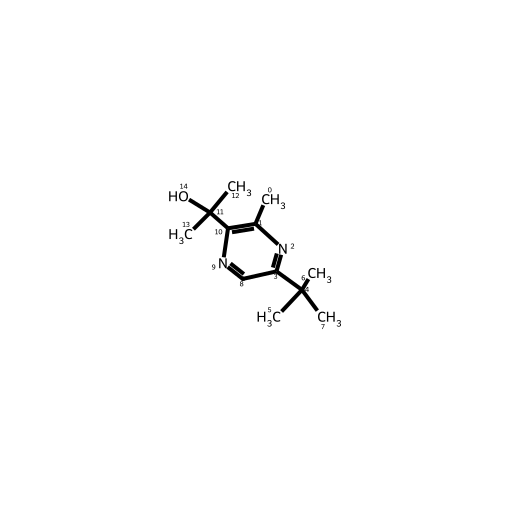 Cc1nc(C(C)(C)C)cnc1C(C)(C)O